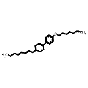 CCCCCCCCC1CC=C(c2ccc(OCCCCCCC)cc2)CC1